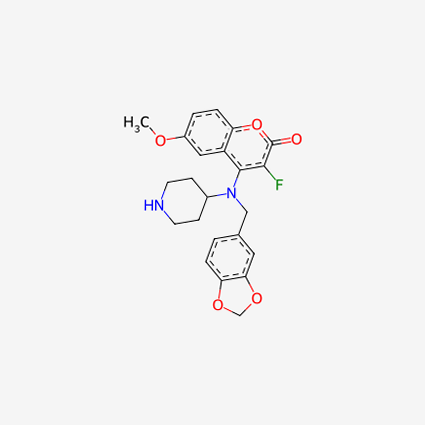 COc1ccc2oc(=O)c(F)c(N(Cc3ccc4c(c3)OCO4)C3CCNCC3)c2c1